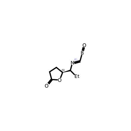 CCC(/N=C/B=O)[C@@H]1CCC(=O)O1